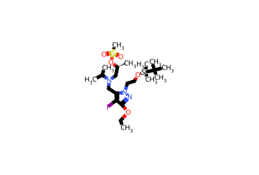 CCOc1nn(CCO[Si](C)(C)C(C)(C)C)c(CN(C[C@@H](C)OS(C)(=O)=O)C(C)C)c1I